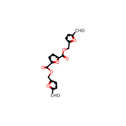 O=Cc1ccc(COC(=O)c2ccc(C(=O)OCc3ccc(C=O)o3)o2)o1